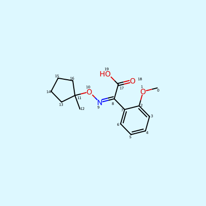 COc1ccccc1/C(=N/OC1(C)CCCC1)C(=O)O